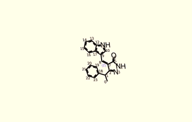 CC(C1=NNC(=O)/C1=C\c1c[nH]c2ccccc12)c1ccccc1